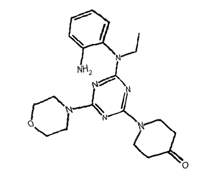 CCN(c1nc(N2CCOCC2)nc(N2CCC(=O)CC2)n1)c1ccccc1N